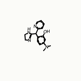 CN(C)c1ccc(C(C2=NCCN2)c2ccccn2)c(O)c1